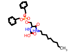 CCCCCCCCCNC(=O)C(COP(=O)(OCc1ccccc1)OCc1ccccc1)NC(=O)O